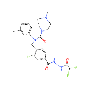 Cc1cccc(N(Cc2ccc(C(=O)NNC(=O)C(F)F)cc2F)C(=O)N2CCN(C)CC2)c1